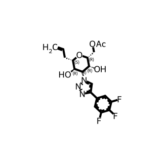 C=CC[C@@H]1O[C@H](COC(C)=O)[C@H](O)[C@H](n2cc(-c3cc(F)c(F)c(F)c3)nn2)[C@H]1O